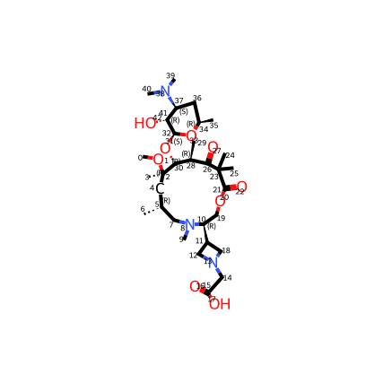 CO[C@]1(C)C[C@@H](C)CN(C)[C@H](C2CN(CC(=O)O)C2)COC(=O)C(C)(C)C(=O)[C@H](C)[C@H]1O[C@@H]1O[C@H](C)C[C@H](N(C)C)[C@H]1O